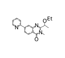 CCOC(C)c1nc2cc(-c3ccccn3)ccc2c(=O)n1C